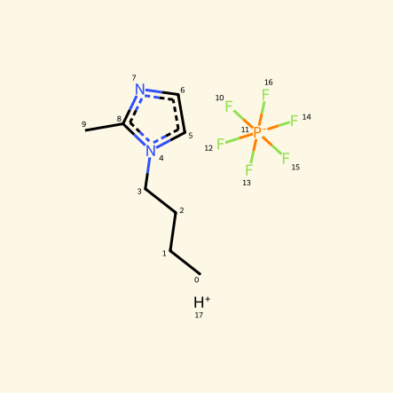 CCCCn1ccnc1C.F[P-](F)(F)(F)(F)F.[H+]